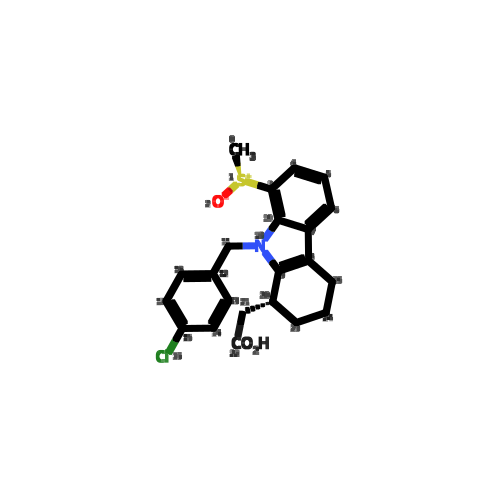 C[S@+]([O-])c1cccc2c3c(n(Cc4ccc(Cl)cc4)c12)[C@@H](CC(=O)O)CCC3